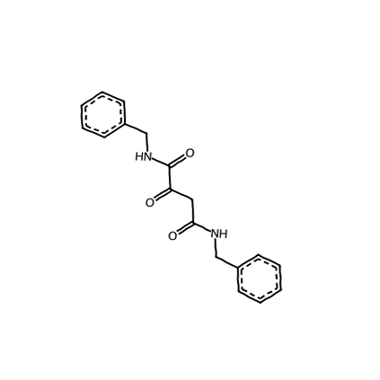 O=C(CC(=O)C(=O)NCc1ccccc1)NCc1ccccc1